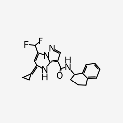 O=C(NC1CCCc2ccccc21)c1cnn2c1NC(=C1CC1)C=C2C(F)F